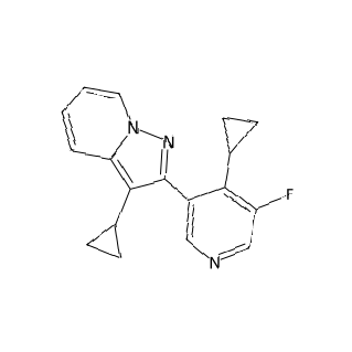 Fc1cncc(-c2nn3ccccc3c2C2CC2)c1C1CC1